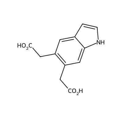 O=C(O)Cc1cc2cc[nH]c2cc1CC(=O)O